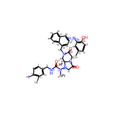 CCCN(C(=O)NCc1ccc(I)c(I)c1)N1CC(=O)N2[C@@H](Cc3ccc(O)c(N)c3)C(=O)N(Cc3cccc4ccccc34)C[C@@H]21